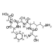 CC(NC(=O)C(CCCCN)NC(=O)C(N)CO)C(=O)NC(Cc1ccccc1)C(=O)NCC(=O)O